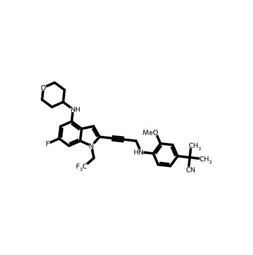 COc1cc(C(C)(C)C#N)ccc1NCC#Cc1cc2c(NC3CCOCC3)cc(F)cc2n1CC(F)(F)F